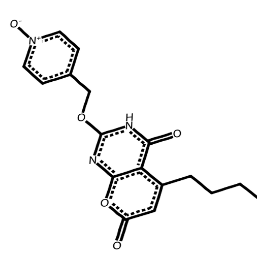 CCCCc1cc(=O)oc2nc(OCc3cc[n+]([O-])cc3)[nH]c(=O)c12